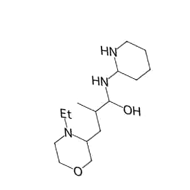 CCN1CCOCC1CC(C)C(O)NC1CCCCN1